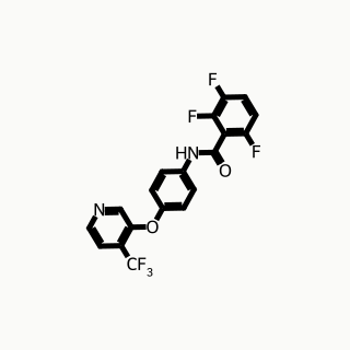 O=C(Nc1ccc(Oc2cnccc2C(F)(F)F)cc1)c1c(F)ccc(F)c1F